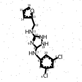 Clc1cc(Cl)cc(NC2N=C(NCc3ccco3)NN2)c1